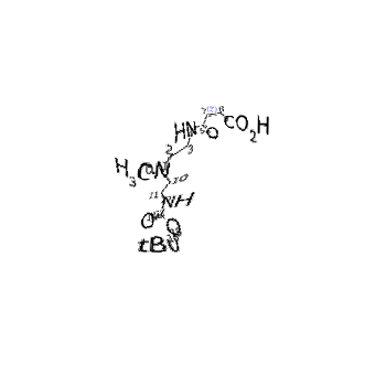 CN(CCNC(=O)/C=C\C(=O)O)CCNC(=O)OC(C)(C)C